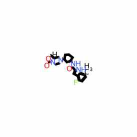 Cc1ccc(F)c2cc(C(=O)N[C@@H]3CCC[C@H](N4CCN5C(=O)OC[C@@H]5C4)C3)[nH]c12